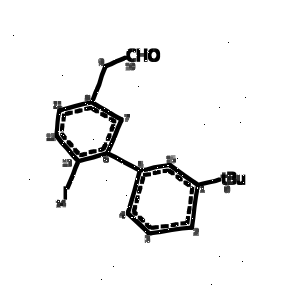 CC(C)(C)c1cccc(-c2cc(CC=O)ccc2I)c1